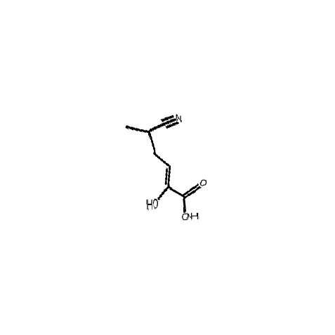 CC(C#N)CC=C(O)C(=O)O